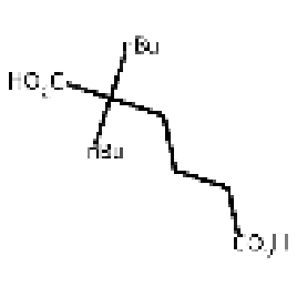 CCCCC(CCCC)(CCCC(=O)O)C(=O)O